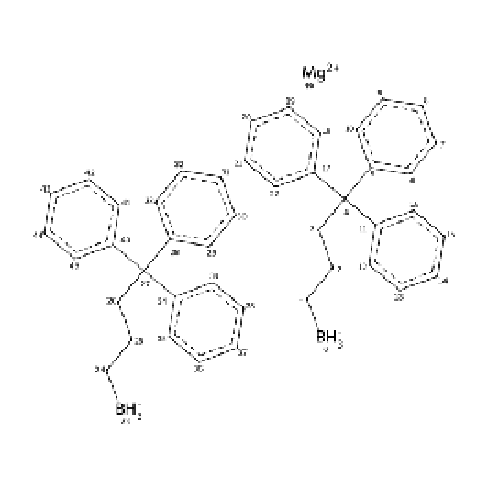 [BH3-]CCCC(c1ccccc1)(c1ccccc1)c1ccccc1.[BH3-]CCCC(c1ccccc1)(c1ccccc1)c1ccccc1.[Mg+2]